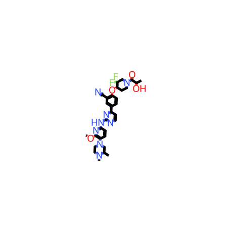 COc1nc(Nc2nccc(-c3ccc(OC4CCN(C(=O)C(C)O)CC4(F)F)c(C#N)c3)n2)ccc1N1CCN(C)C(C)C1